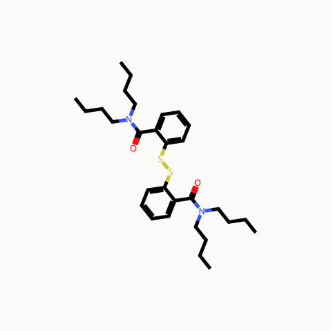 CCCCN(CCCC)C(=O)c1ccccc1SSc1ccccc1C(=O)N(CCCC)CCCC